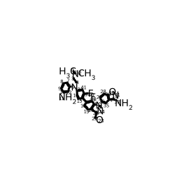 CN(C)CCN(c1cccc(N)c1)c1ccc(-c2ccc3c(C=O)nn(-c4ccc5onc(N)c5c4)c3c2F)c(F)c1